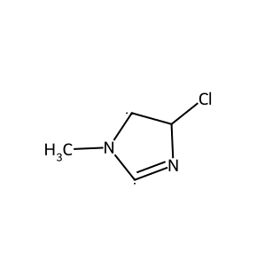 CN1[C]=NC(Cl)[CH]1